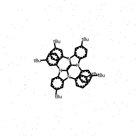 CC(C)(C)c1cccc(N2/C(=C3/N(c4cccc(C(C)(C)C)c4)c4ccc(C(C)(C)C)cc4N3c3cccc(C(C)(C)C)c3)N(c3cccc(C(C)(C)C)c3)c3cc(C(C)(C)C)ccc32)c1